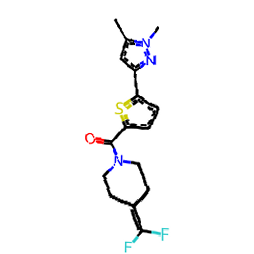 Cc1cc(-c2ccc(C(=O)N3CCC(=C(F)F)CC3)s2)nn1C